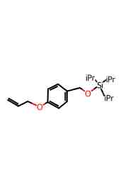 C=CCOc1ccc(CO[Si](C(C)C)(C(C)C)C(C)C)cc1